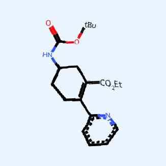 CCOC(=O)C1=C(c2ccccn2)CCC(NC(=O)OC(C)(C)C)C1